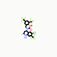 COC(=O)N(Cc1cc(C(F)(F)F)cc(C(F)(F)F)c1)[C@H]1C[C@@H](C)Nc2cc(C(F)(F)F)c(Cl)cc21